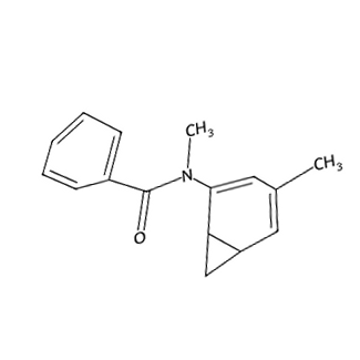 CC1=CC2CC2C(N(C)C(=O)c2ccccc2)=C1